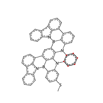 CSc1ccc2c(c1)N(c1ccccc1)c1c3c(cc4c1N(c1ccccc1)c1cccc5c1B4n1c4ccccc4c4cccc-5c41)-c1cccc4c5ccccc5n(c14)B23